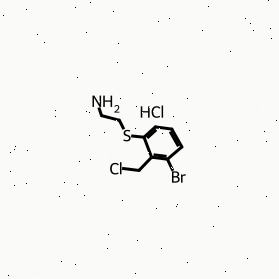 Cl.NCCSc1cccc(Br)c1CCl